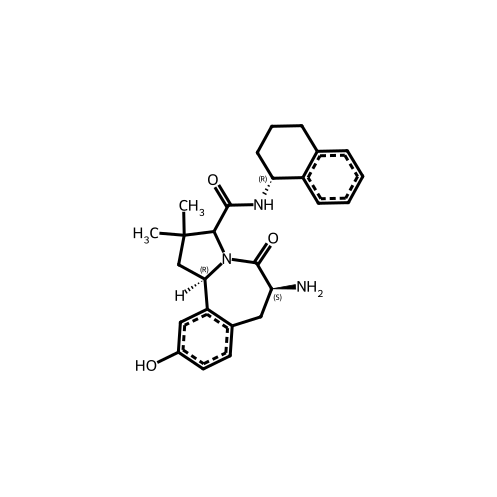 CC1(C)C[C@@H]2c3cc(O)ccc3C[C@H](N)C(=O)N2C1C(=O)N[C@@H]1CCCc2ccccc21